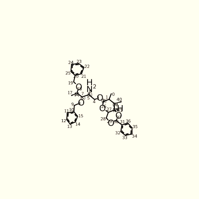 CC1[C@@H](OC[C@H](N)[C@H](OCc2ccccc2)[C@@H](C)OCc2ccccc2)OC2COC(c3ccccc3)O[C@@H]2[C@@H]1C